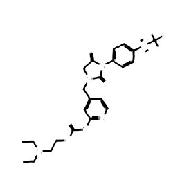 CCN(CC)CCOC(=O)Nc1cc(CN2CC(=O)N(c3ccc(S(=O)(=O)C(F)(F)F)cc3)C2=O)ccn1